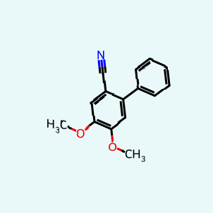 COc1cc(C#N)c(-c2ccccc2)cc1OC